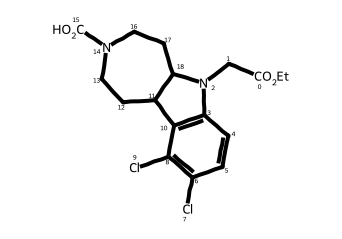 CCOC(=O)CN1c2ccc(Cl)c(Cl)c2C2CCN(C(=O)O)CCC21